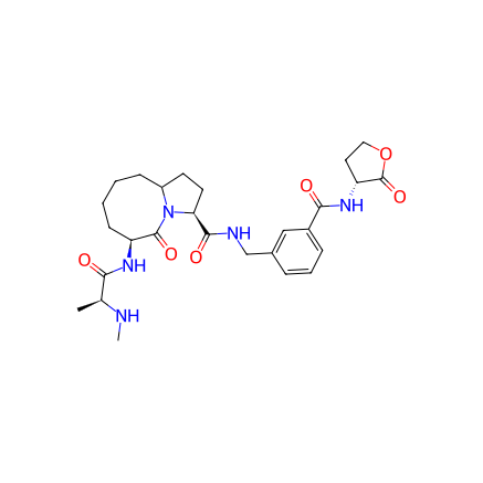 CN[C@@H](C)C(=O)N[C@H]1CCCCC2CC[C@@H](C(=O)NCc3cccc(C(=O)N[C@@H]4CCOC4=O)c3)N2C1=O